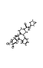 O=C(NC1CCOC1)C1CCN(c2nc3cc(Cl)c(Cl)cc3n2-c2ccccc2)CC1